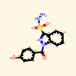 NNS(=O)(=O)c1nn(C(=O)c2ccc(O)cc2)c2ccccc12